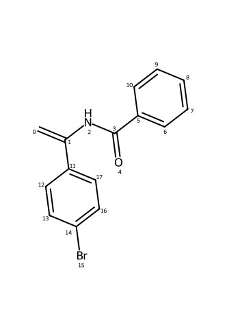 C=C(NC(=O)c1ccccc1)c1ccc(Br)cc1